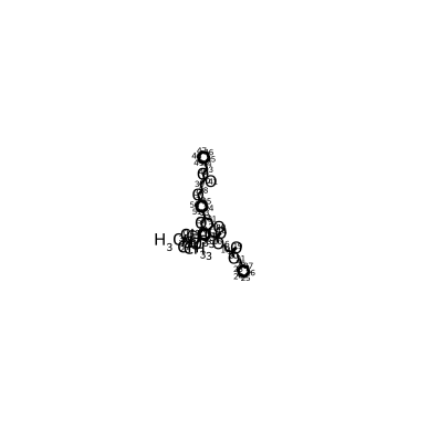 CC(C)(C)[Si](C)(C)Oc1cc2c(c(C(=O)OCCC(=O)OCc3ccccc3)c1)C(=O)CC(c1ccc(OCCC(=O)OCc3ccccc3)cc1)O2